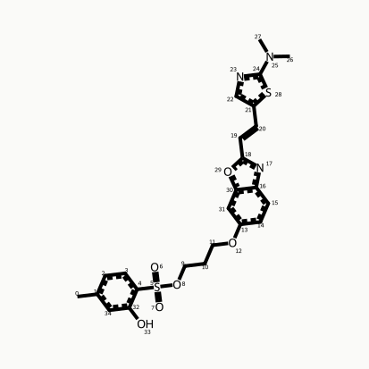 Cc1ccc(S(=O)(=O)OCCCOc2ccc3nc(C=Cc4cnc(N(C)C)s4)oc3c2)c(O)c1